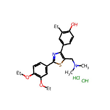 CCOc1ccc(-c2nc(-c3ccc(O)c(CC)c3)c(CN(C)C)s2)cc1OCC.Cl.Cl